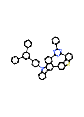 c1ccc(-c2cc(-c3ccccc3)cc(-c3ccc(-n4c5ccccc5c5cc(-c6ccc7sc8cccc(-c9nc(-c%10ccccc%10)nc(-c%10ccccc%10)n9)c8c7c6)ccc54)cc3)c2)cc1